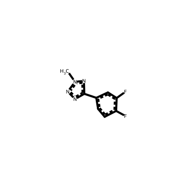 Cn1nnc(-c2ccc(F)c(F)c2)n1